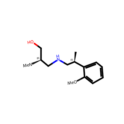 CN[C@@H](CO)CNC[C@@H](C)c1ccccc1OC